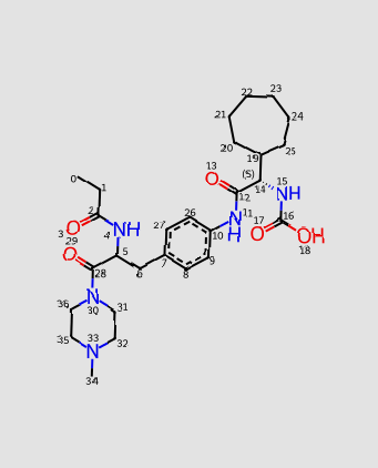 CCC(=O)NC(Cc1ccc(NC(=O)[C@@H](NC(=O)O)C2CCCCCC2)cc1)C(=O)N1CCN(C)CC1